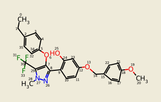 CCc1ccc(Oc2c(-c3ccc(OCc4ccc(OC)cc4)cc3O)nn(C)c2C(F)(F)F)cc1